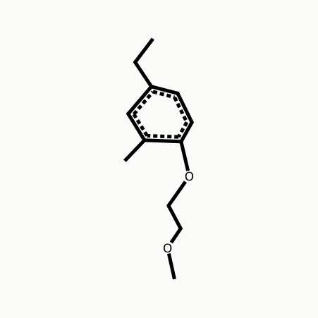 CCc1ccc(OCCOC)c(C)c1